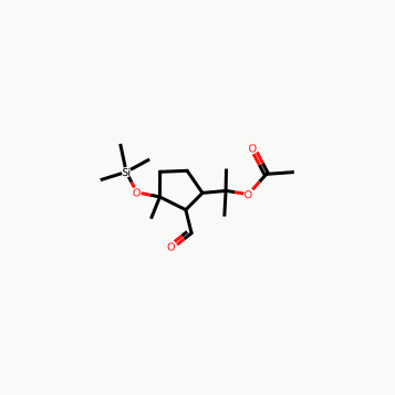 CC(=O)OC(C)(C)C1CCC(C)(O[Si](C)(C)C)C1C=O